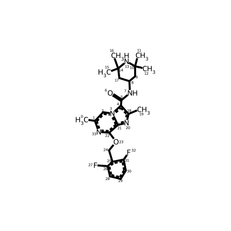 Cc1cn2c(C(=O)NC3CC(C)(C)NC(C)(C)C3)c(C)nc2c(OCc2c(F)cccc2F)n1